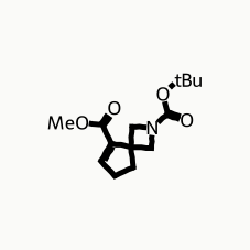 COC(=O)C1=CCCC12CN(C(=O)OC(C)(C)C)C2